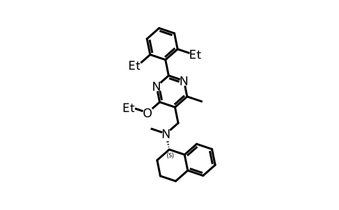 CCOc1nc(-c2c(CC)cccc2CC)nc(C)c1CN(C)[C@H]1CCCc2ccccc21